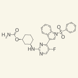 NC(=O)O[C@H]1CCC[C@@H](Nc2ncc(F)c(-c3cn(S(=O)(=O)c4ccccc4)c4ccccc34)n2)C1